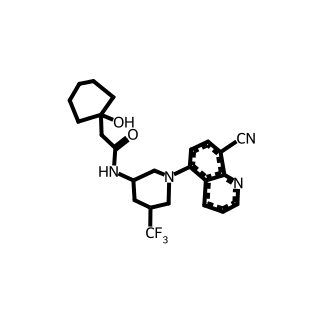 N#Cc1ccc(N2CC(NC(=O)CC3(O)CCCCC3)CC(C(F)(F)F)C2)c2cccnc12